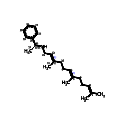 CC(C)=CCC/C(C)=C/CC/C(C)=C/CN[C@H](C)c1ccccc1